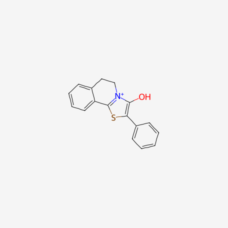 Oc1c(-c2ccccc2)sc2[n+]1CCc1ccccc1-2